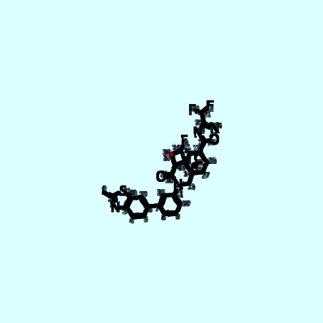 Cc1nc2ccc(-c3cccc(N(CC45CCC(c6nc(C(F)F)no6)(CC4)CC5)C(=O)C45CC(F)(C4)C5)c3)cc2s1